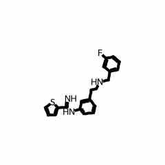 N=C(Nc1cccc(CCNCc2cccc(F)c2)c1)c1cccs1